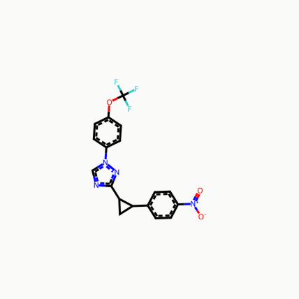 O=[N+]([O-])c1ccc(C2CC2c2ncn(-c3ccc(OC(F)(F)F)cc3)n2)cc1